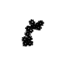 c1ccc(-c2nc(-c3ccc(-c4cccc(-c5ccc6c(c5)C(c5ccccc5)(c5ccccc5)c5ccccc5-6)c4)c4ccccc34)cc(-c3cccc4c3oc3ccccc34)n2)cc1